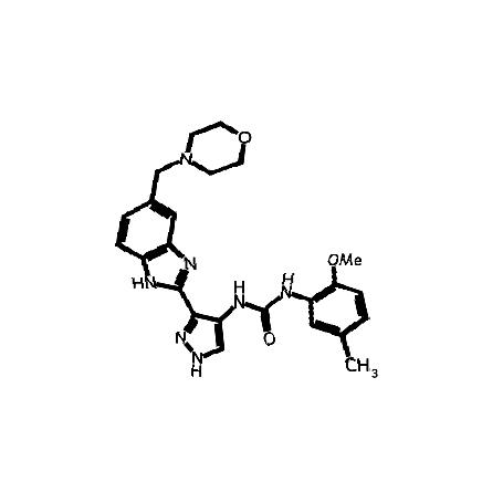 COc1ccc(C)cc1NC(=O)Nc1c[nH]nc1-c1nc2cc(CN3CCOCC3)ccc2[nH]1